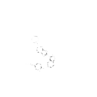 CN1CCN(c2ccc3nc(-c4n[nH]c5ccc(Oc6ccc([N+](=O)[O-])cn6)cc45)[nH]c3c2)CC1